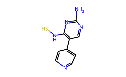 Nc1ncc(-c2ccncc2)c(NS)n1